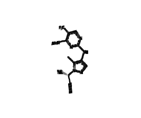 C#C[C@H](C#N)n1ncc(Nc2ncc(C(F)(F)F)c(NC)n2)c1C